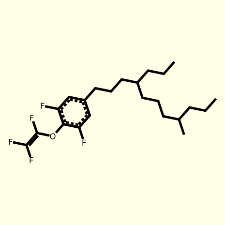 CCCC(C)CCCC(CCC)CCCc1cc(F)c(OC(F)=C(F)F)c(F)c1